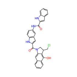 O=C(Nc1ccc2[nH]c(C(=O)N3CC(CCl)c4c3cc3ccccc3c4O)cc2c1)c1cc2ccccc2[nH]1